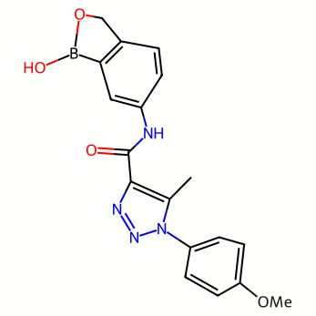 COc1ccc(-n2nnc(C(=O)Nc3ccc4c(c3)B(O)OC4)c2C)cc1